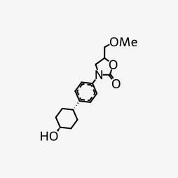 COCC1CN(c2ccc([C@H]3CC[C@H](O)CC3)cc2)C(=O)O1